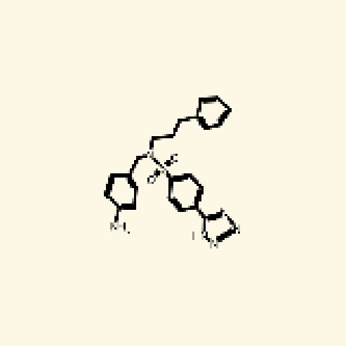 Nc1ccc(CN(CCCc2ccccc2)S(=O)(=O)c2ccc(-c3nnn[nH]3)cc2)cc1